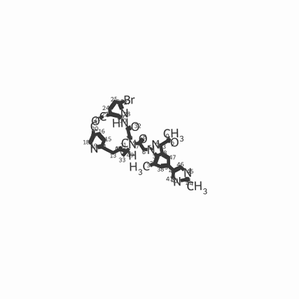 CC(=O)c1nn(CC(=O)N2C3C[C@@]4(Cc5ccc(cn5)COCc5ccc(Br)nc5NC3=O)C[C@@H]24)c2c(C)cc(-c3cnc(C)nc3)cc12